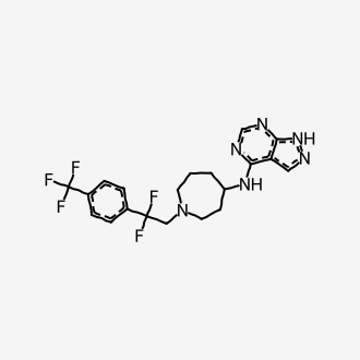 FC(F)(F)c1ccc(C(F)(F)CN2CCCC(Nc3ncnc4[nH]ncc34)CC2)cc1